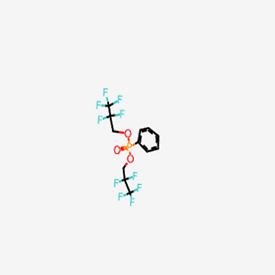 O=P(OCC(F)(F)C(F)(F)F)(OCC(F)(F)C(F)(F)F)c1ccccc1